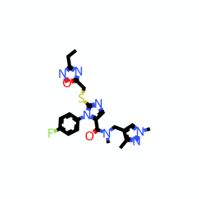 CCc1noc(CSc2ncc(C(=O)N(C)Cc3cn(C)nc3C)n2-c2ccc(F)cc2)n1